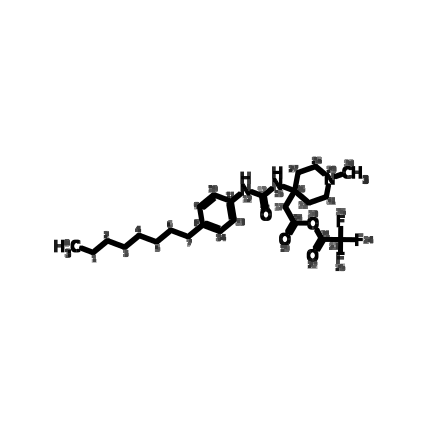 CCCCCCCCc1ccc(NC(=O)NC2(CC(=O)OC(=O)C(F)(F)F)CCN(C)CC2)cc1